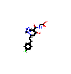 O=C(O)CNC(=O)c1c(O)cc(CCc2ccc(Cl)cc2)n2cnnc12